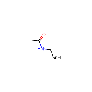 CC(=O)N[CH2][SnH]